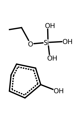 CCO[Si](O)(O)O.Oc1ccccc1